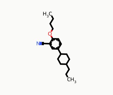 CCCCOc1ccc(C2CCC(CCC)CC2)cc1C#N